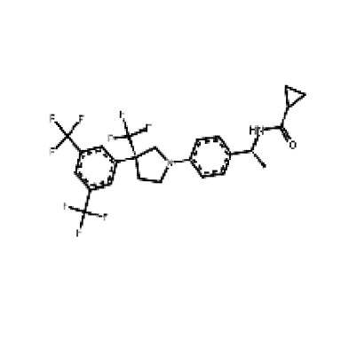 C[C@H](NC(=O)C1CC1)c1ccc(N2CC[C@@](c3cc(C(F)(F)F)cc(C(F)(F)F)c3)(C(F)(F)F)C2)cc1